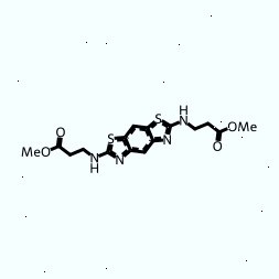 COC(=O)CCNc1nc2cc3nc(NCCC(=O)OC)sc3cc2s1